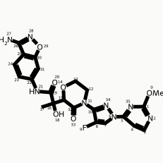 COc1nccc(-n2cc(F)c(N3CCOC(C(C)(O)C(=O)Nc4ccc5c(N)noc5c4)C3=O)n2)n1